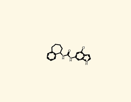 O=C(Nc1cc(Cl)c2cc[nH]c2c1)NC1CCCCc2ccccc21